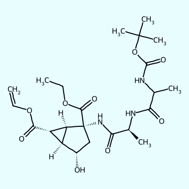 C=COC(=O)[C@H]1[C@H]2[C@@H]1[C@@](NC(=O)[C@H](C)NC(=O)C(C)NC(=O)OC(C)(C)C)(C(=O)OCC)C[C@@H]2O